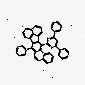 c1ccc(-c2cc(-c3ccccc3)nc(-c3c4c(c(-c5ccccc5)c5ccc6ccccc6c35)-c3cccc5cccc-4c35)n2)cc1